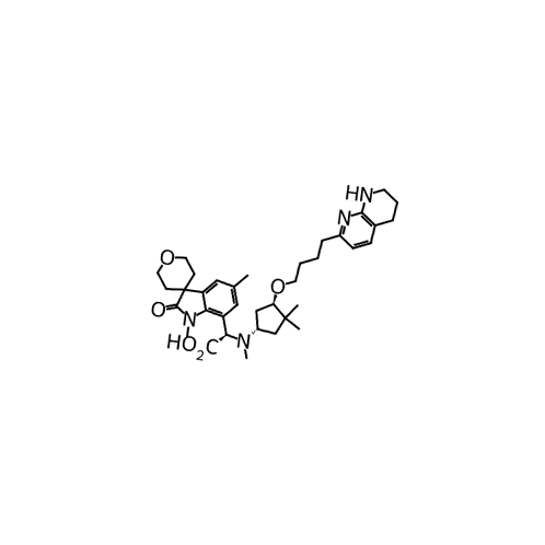 Cc1cc([C@H](C(=O)O)N(C)[C@@H]2C[C@@H](OCCCCc3ccc4c(n3)NCCC4)C(C)(C)C2)c2c(c1)C1(CCOCC1)C(=O)N2C